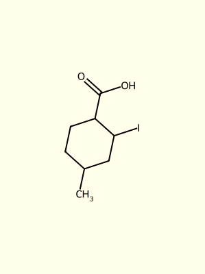 CC1CCC(C(=O)O)C(I)C1